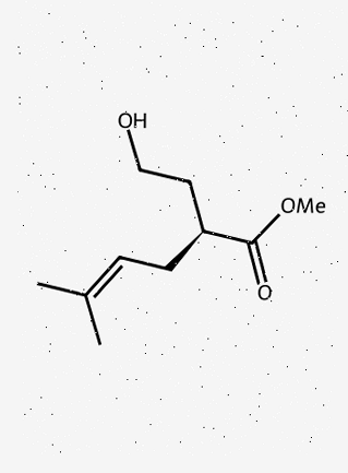 COC(=O)[C@@H](CC=C(C)C)CCO